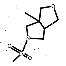 CC12COCC1CN(S(C)(=O)=O)C2